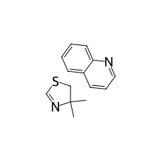 CC1(C)CSC=N1.c1ccc2ncccc2c1